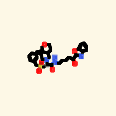 O=C(CCCCNC(=O)[C@H](CS(=O)(=O)Cc1ccccc1)N(CC1CCOCC1)CC1CC1)c1nc2ccccc2o1